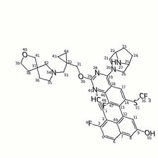 C#Cc1c(F)ccc2cc(O)cc(-c3c(SC(F)(F)F)cc4c(N5CC6CCC(C5)N6)nc(OCC5(CN6CCC7(CCOC7)C6)CC5)nc4c3F)c12